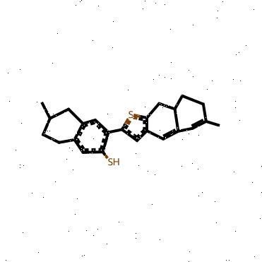 CC1=CC2=Cc3cc(-c4cc5c(cc4S)CCC(C)C5)sc3CC2CC1